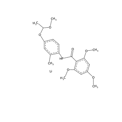 COc1cc(OC)c(C(=O)Pc2ccc(OC(C)OC)cc2C)c(OC)c1.[Li]